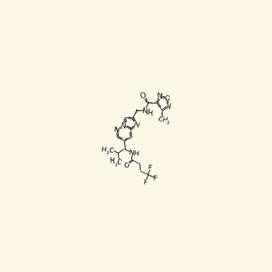 Cc1nonc1C(=O)NCc1cn2ncc(C(NC(=O)CCC(F)(F)F)C(C)C)cc2n1